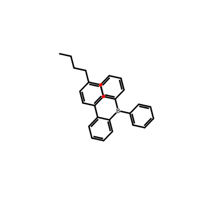 CCCCc1ccc(-c2ccccc2B(c2ccccc2)c2ccccc2)cc1